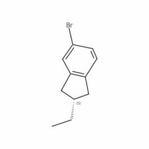 CC[C@H]1Cc2ccc(Br)cc2C1